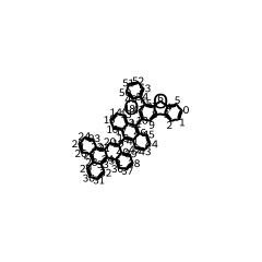 c1ccc2c(c1)oc1c2cc(-c2c3ccccc3c(-c3cc4c5ccccc5c5ccccc5c4c4ccccc34)c3ccccc23)c2oc3ccccc3c21